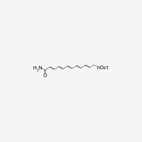 CCCCCCCCC/C=C/C=C/C=C/C=C/C=C/C(N)=O